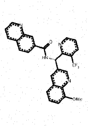 COc1cccc2cc([C@H](NC(=O)c3ccc4cccnc4c3)c3ncccc3C(F)(F)F)cnc12